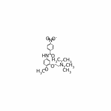 COc1ccc(NC(=O)c2ccc([N+](=O)[O-])cc2)cc1OCCN(C(C)C)C(C)C